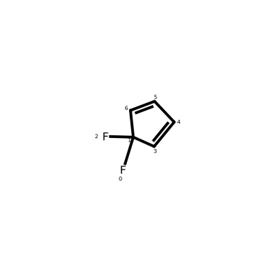 FC1(F)C=CC=C1